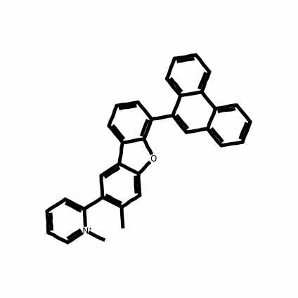 Cc1cc2oc3c(-c4cc5ccccc5c5ccccc45)cccc3c2cc1-c1cccc[n+]1C